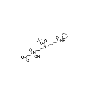 COC(=O)/C=C/C(=O)N(O)CCCCN(CCCCCC(=O)Nc1ccccc1)C(=O)OC(C)(C)C